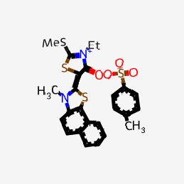 CC[N+]1=C(SC)SC(=C2Sc3c(ccc4ccccc34)N2C)C1=O.Cc1ccc(S(=O)(=O)[O-])cc1